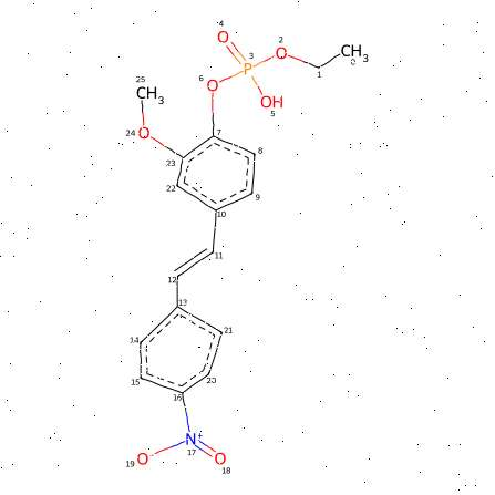 CCOP(=O)(O)Oc1ccc(C=Cc2ccc([N+](=O)[O-])cc2)cc1OC